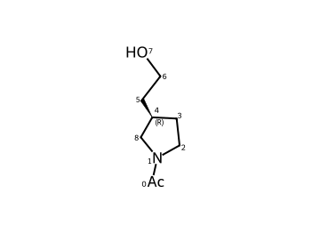 CC(=O)N1CC[C@H](CCO)C1